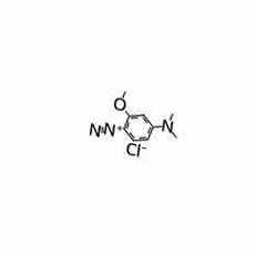 COc1cc(N(C)C)ccc1[N+]#N.[Cl-]